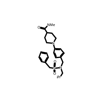 CNC(=O)C1CCN(c2ccc(CN(CC(C)C)S(=O)(=O)Cc3ccccc3)cc2)CC1